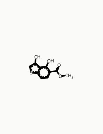 COC(=O)c1ccc2scc(C)c2c1O